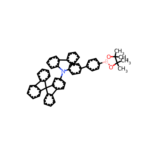 CC1(C)OB(c2ccc(-c3ccc(N(c4ccc5c(c4)C4(c6ccccc6-c6ccccc64)c4ccccc4-5)c4ccccc4-c4ccccc4)cc3)cc2)OC1(C)C